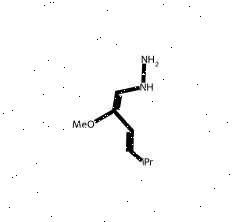 COC(/C=C/C(C)C)=C/NN